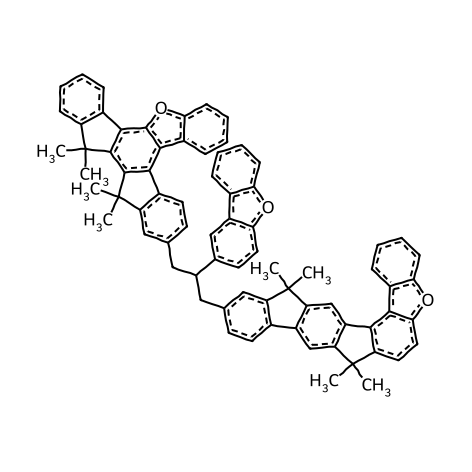 CC1(C)c2cc(CC(Cc3ccc4c(c3)C(C)(C)c3c5c(c6oc7ccccc7c6c3-4)-c3ccccc3C5(C)C)c3ccc4oc5ccccc5c4c3)ccc2-c2cc3c(cc21)-c1c(ccc2oc4ccccc4c12)C3(C)C